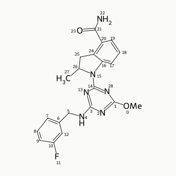 COc1nc(NCc2cccc(F)c2)nc(N2c3cccc(C(N)=O)c3CC2C)n1